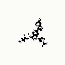 CC(C)(O)C(F)CNC(=O)c1cnc(-c2cnc3cc(Cl)cnn23)cc1Nc1cnn(C(F)F)c1